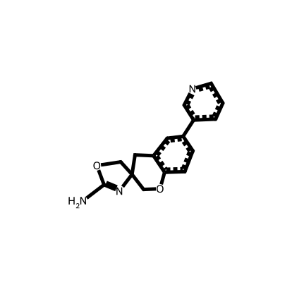 NC1=NC2(CO1)COc1ccc(-c3cccnc3)cc1C2